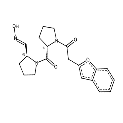 O=C([C@@H]1CCCN1C(=O)Cc1cc2ccccc2o1)N1CCC[C@H]1C=NO